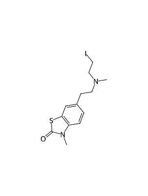 CN(CCI)CCc1ccc2c(c1)sc(=O)n2C